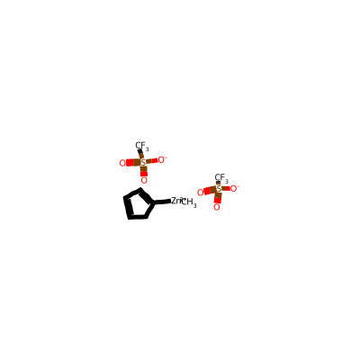 O=S(=O)([O-])C(F)(F)F.O=S(=O)([O-])C(F)(F)F.[CH3][Zr+2][C]1=CC=CC1